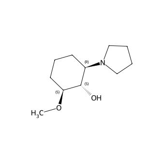 CO[C@H]1CCC[C@@H](N2CCCC2)[C@@H]1O